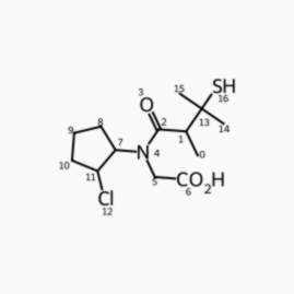 CC(C(=O)N(CC(=O)O)C1CCCC1Cl)C(C)(C)S